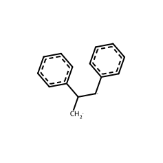 [CH2]C([CH]c1ccccc1)c1ccccc1